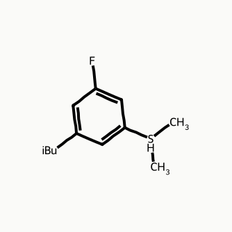 CCC(C)c1cc(F)cc([SH](C)C)c1